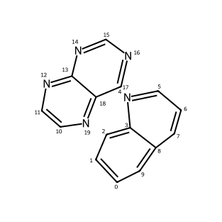 c1ccc2ncccc2c1.c1cnc2ncncc2n1